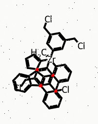 [CH2]=[Zr]([C]1=CC=CC1)([c]1cc(CCl)cc(CCl)c1)([c]1cc(CCl)cc(CCl)c1)[c]1cccc2c1c1c(c3ccccc32)-c2ccccc2C1